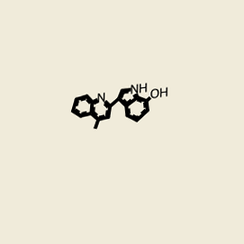 Cc1cc(-c2c[nH]c3c(O)cccc23)nc2ccccc12